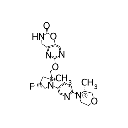 C[C@@H]1COCCN1c1ccc(N2C[C@H](F)C[C@@]2(C)COc2ncc3c(n2)CNC(=O)O3)cn1